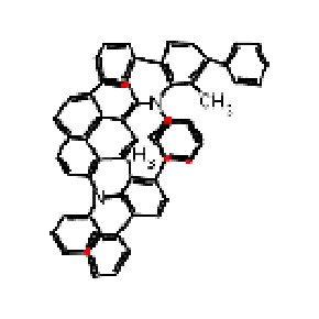 Cc1c(-c2ccccc2)ccc(-c2ccccc2)c1N(c1ccccc1)c1ccc2ccc3ccc(N(c4ccccc4)c4c(-c5ccccc5)ccc(-c5ccccc5)c4C)c4ccc1c2c34